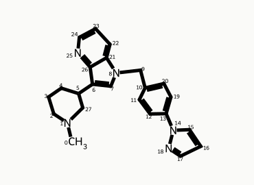 CN1CCCC(c2cn(Cc3ccc(-n4cccn4)cc3)c3cccnc23)C1